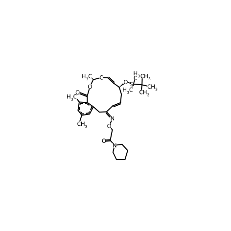 Cc1cc(C)c2c(c1)CC(=NOCC(=O)N1CCCCC1)/C=C/C[C@H](O[Si](C)(C)C(C)(C)C)/C=C/C[C@@H](C)OC2=O